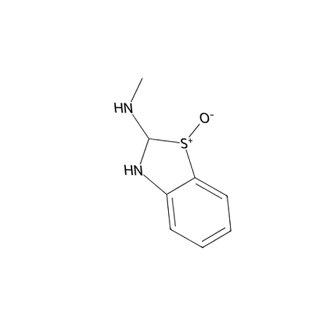 CNC1Nc2ccccc2[S+]1[O-]